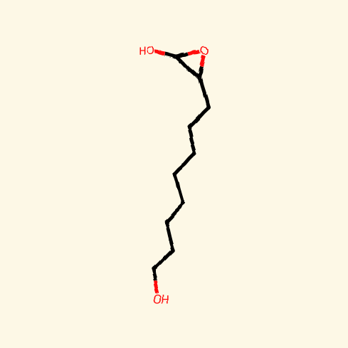 OCCCCCCCCC1OC1O